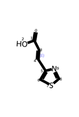 C=C(O)/C=C/c1cscn1